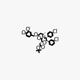 COc1ccc(COCC[C@H](C)N2C(=O)[C@@H](CC(=O)OC(C)(C)C)O[C@H](c3cccc(Cl)c3)[C@H]2c2ccc(Cl)cc2)cc1OC